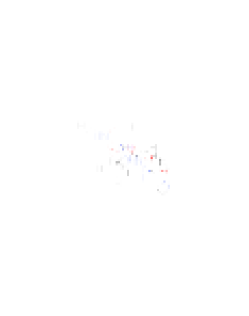 C=CCNC(=O)C(=O)C(CCC)NC(=O)[C@@H]1[C@@H]2[C@H](CN1C(=O)[C@@H](NC(=O)N[C@H](CC(=O)c1ccccn1)C(C)C)C(C)(C)C)C2(C)C